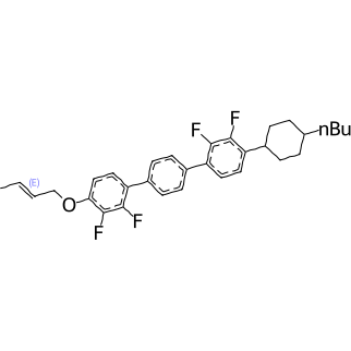 C/C=C/COc1ccc(-c2ccc(-c3ccc(C4CCC(CCCC)CC4)c(F)c3F)cc2)c(F)c1F